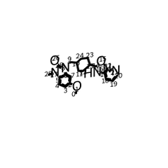 COc1ccc2c(c1)n(CC1CCC(C(=O)Nc3cccnn3)CC1)c(=O)n2C